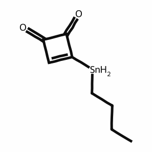 CCC[CH2][SnH2][c]1cc(=O)c1=O